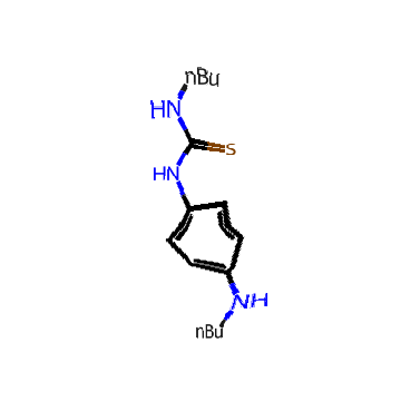 CCCCNC(=S)Nc1ccc(NCCCC)cc1